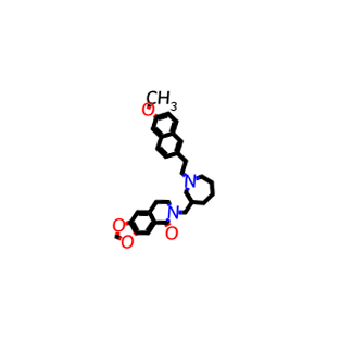 COc1ccc2cc(CCN3CCCCC(CN4CCc5cc6c(cc5C4=O)OCO6)C3)ccc2c1